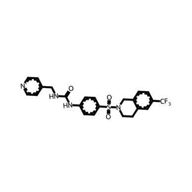 O=C(NCc1ccncc1)Nc1ccc(S(=O)(=O)N2CCc3cc(C(F)(F)F)ccc3C2)cc1